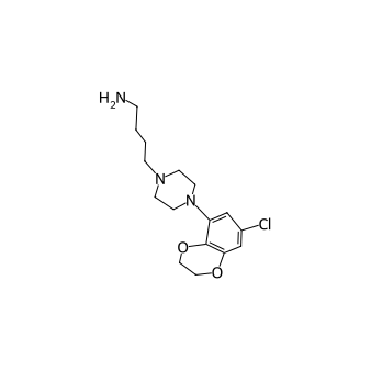 NCCCCN1CCN(c2cc(Cl)cc3c2OCCO3)CC1